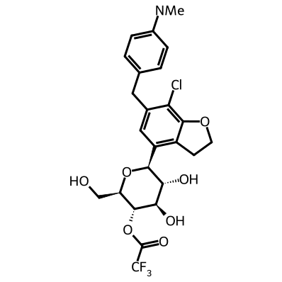 CNc1ccc(Cc2cc([C@@H]3O[C@H](CO)[C@@H](OC(=O)C(F)(F)F)[C@H](O)[C@H]3O)c3c(c2Cl)OCC3)cc1